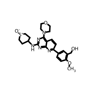 COc1ccc(-c2ccc3c(N4CCOCC4)nc(NC4CC[S+]([O-])CC4)nc3n2)cc1CO